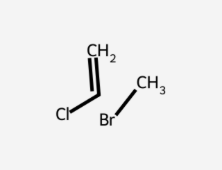 C=CCl.CBr